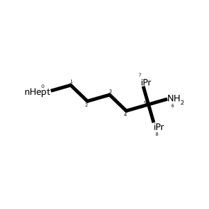 CCCCCCCCCCCC(N)(C(C)C)C(C)C